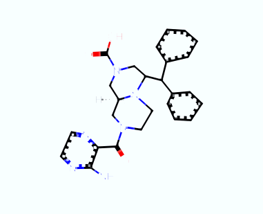 Nc1nccnc1C(=O)N1CCN2C(C(c3ccccc3)c3ccccc3)CN(C(=O)O)C[C@@H]2C1